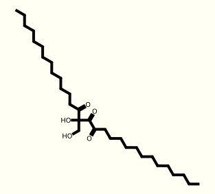 CCCCCCCCCCCCCC(=O)C(=O)C(O)(CO)C(=O)CCCCCCCCCCCCC